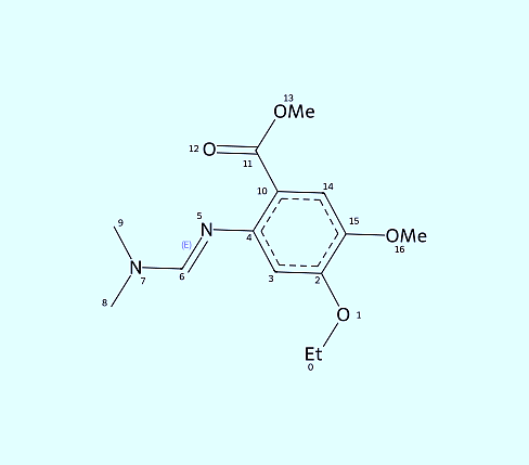 CCOc1cc(/N=C/N(C)C)c(C(=O)OC)cc1OC